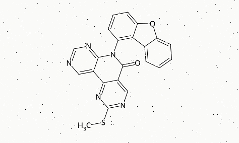 CSc1ncc2c(=O)n(-c3cccc4oc5ccccc5c34)c3ncncc3c2n1